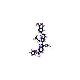 Cc1c(-c2cc3ccc(-c4ccc5c(c4)C=NC5=O)nc3n2CC2CC2)nn2cc(C(=O)N3CC4CCC3[C@@H]4N)ccc12